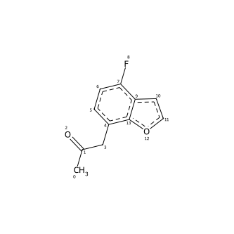 CC(=O)Cc1ccc(F)c2ccoc12